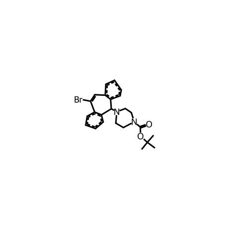 CC(C)(C)OC(=O)N1CCN(C2c3ccccc3C=C(Br)c3ccccc32)CC1